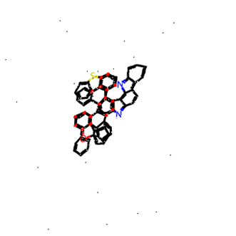 c1ccc(-c2ccccc2-c2ccccc2-c2c3c(c(-c4cccc5sc6ccccc6c45)c(-c4ccccc4-c4ccccc4-c4ccccc4)c2-c2cccc4oc5ccccc5c24)-c2c4c(ccc2=N3)=c2ccccc2=N4)cc1